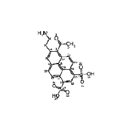 CC(=O)c1c(CCN)cc2ccc3c(S(=O)(=O)O)cc(S(=O)(=O)O)c4ccc1c2c34